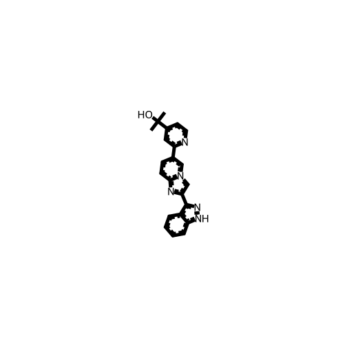 CC(C)(O)c1ccnc(-c2ccc3nc(-c4n[nH]c5ccccc45)cn3c2)c1